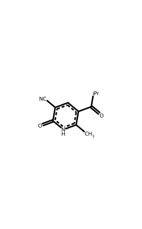 Cc1[nH]c(=O)c(C#N)cc1C(=O)C(C)C